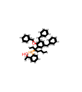 CCCCC(CC)(Pc1ccccc1C(C)O)c1cc(Cc2ccccc2)cc(Cc2ccccc2)c1OCc1ccccc1